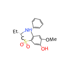 CC[C@H]1CS(=O)(=O)c2cc(O)c(OC)cc2[C@@H](c2ccccc2)N1